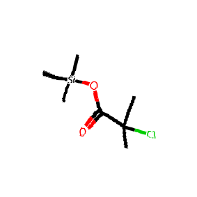 CC(C)(Cl)C(=O)O[Si](C)(C)C